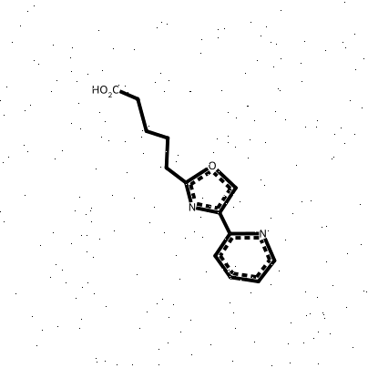 O=C(O)CCCCc1nc(-c2ccccn2)co1